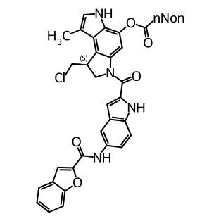 CCCCCCCCCC(=O)Oc1cc2c(c3c(C)c[nH]c13)[C@H](CCl)CN2C(=O)c1cc2cc(NC(=O)c3cc4ccccc4o3)ccc2[nH]1